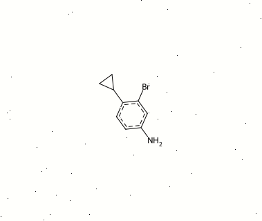 Nc1ccc(C2CC2)c(Br)c1